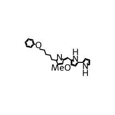 COc1cc(-c2ccc[nH]2)[nH]c1C=C1C=CC(CCCCCOc2ccccc2)=N1